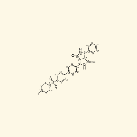 CN1CCN(S(=O)(=O)c2ccc(-c3ccc(C4=C5C(=O)NC(c6ccccc6)=C5C(=O)N4)cc3)cc2)CC1